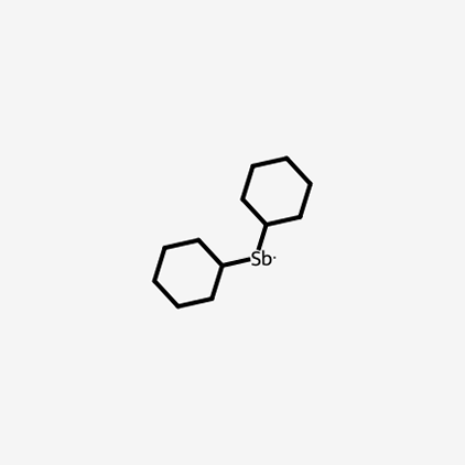 C1CC[CH]([Sb][CH]2CCCCC2)CC1